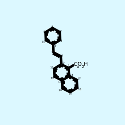 O=C(O)c1c(/C=C/c2ccccc2)ccc2ccccc12